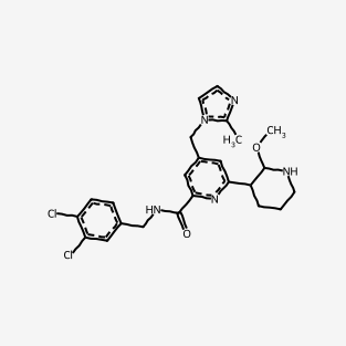 COC1NCCCC1c1cc(Cn2ccnc2C)cc(C(=O)NCc2ccc(Cl)c(Cl)c2)n1